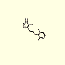 Cc1cccc(C)c1CC=Cc1nc[nH]c1C